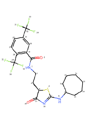 O=C(NCCC1SC(NC2CCCCCC2)=NC1=O)c1cc(C(F)(F)F)ccc1C(F)(F)F